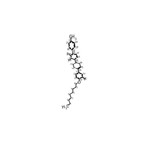 CCCCCCCCCOc1ccc(C2=CCC(c3ccc(-c4ccc(C)cc4)c(F)c3F)CC2)cc1F